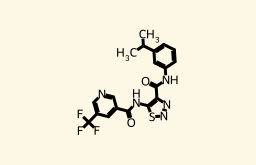 CC(C)c1cccc(NC(=O)c2nnsc2NC(=O)c2cncc(C(F)(F)F)c2)c1